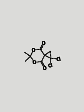 CC1(C)OC(=O)C2(CC2(Cl)Cl)C(=O)O1